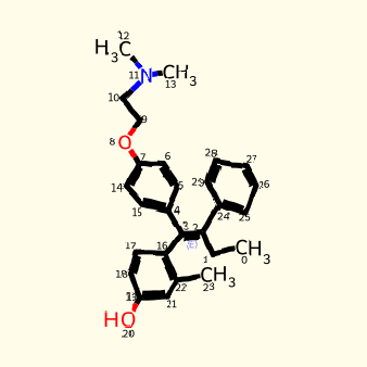 CC/C(=C(/c1ccc(OCCN(C)C)cc1)c1ccc(O)cc1C)c1ccccc1